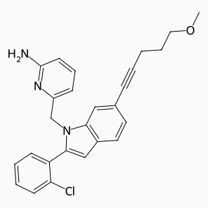 COCCCC#Cc1ccc2cc(-c3ccccc3Cl)n(Cc3cccc(N)n3)c2c1